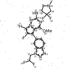 [2H]c1c(F)c(-c2ccc3nnn(CC(F)F)c3c2)c2c(OC)nc(N[C@@H]3CN(C)CC3(F)F)nn12